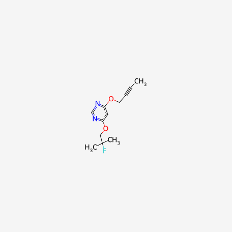 CC#CCOc1cc(OCC(C)(C)F)ncn1